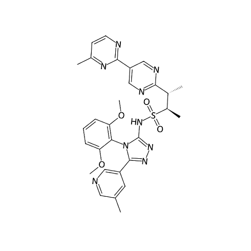 COc1cccc(OC)c1-n1c(NS(=O)(=O)[C@H](C)[C@@H](C)c2ncc(-c3nccc(C)n3)cn2)nnc1-c1cncc(C)c1